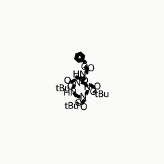 CC(C(=O)NCC(=O)OCc1ccccc1)[N+]1(CC(=O)OC(C)(C)C)CCNCCN(CC(=O)OC(C)(C)C)CCN(CC(=O)OC(C)(C)C)CC1